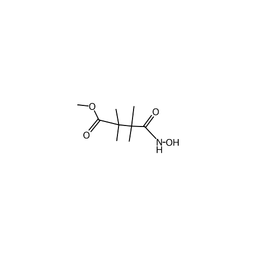 COC(=O)C(C)(C)C(C)(C)C(=O)NO